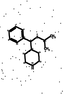 CC(C)SC(c1ccccc1)C1CCNCC1